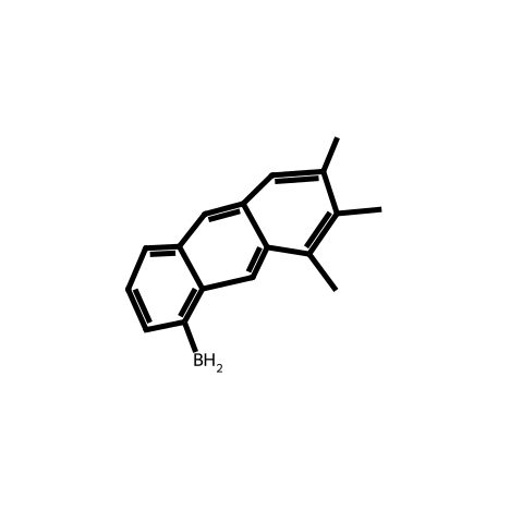 Bc1cccc2cc3cc(C)c(C)c(C)c3cc12